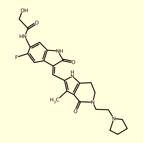 Cc1c(C=C2C(=O)Nc3cc(NC(=O)CO)c(F)cc32)[nH]c2c1C(=O)N(CCN1CCCC1)CC2